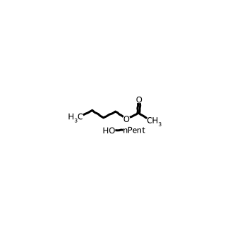 CCCCCO.CCCCOC(C)=O